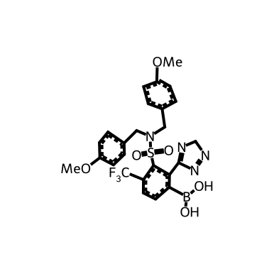 COc1ccc(CN(Cc2ccc(OC)cc2)S(=O)(=O)c2c(C(F)(F)F)ccc(B(O)O)c2C2=NCN=N2)cc1